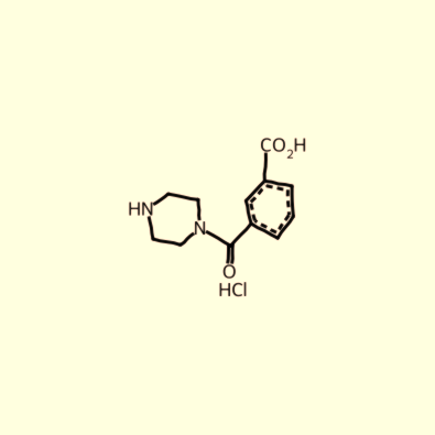 Cl.O=C(O)c1cccc(C(=O)N2CCNCC2)c1